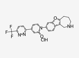 Cl.O=c1cc(-c2ccc(C(F)(F)F)nn2)ccn1-c1ccc2c3c(oc2c1)CCCNC3